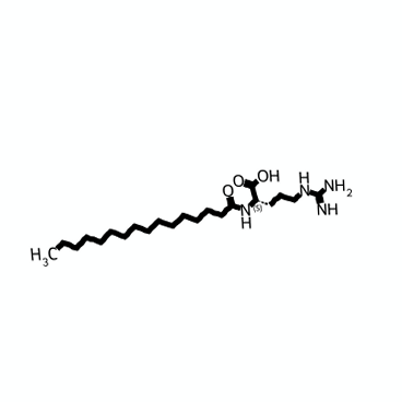 CCCCCCCCCCCCCCCC(=O)N[C@@H](CCCNC(=N)N)C(=O)O